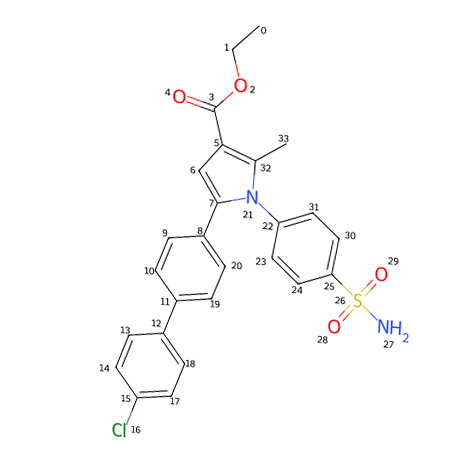 CCOC(=O)c1cc(-c2ccc(-c3ccc(Cl)cc3)cc2)n(-c2ccc(S(N)(=O)=O)cc2)c1C